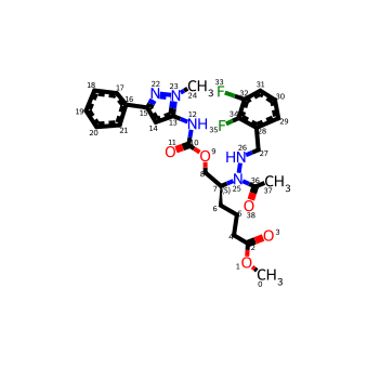 COC(=O)CCC[C@@H](COC(=O)Nc1cc(-c2ccccc2)nn1C)N(NCc1cccc(F)c1F)C(C)=O